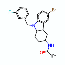 CC(C)C(=O)NC1CCC2C(C1)c1cc(Br)ccc1N2Cc1cccc(F)c1